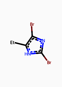 CCc1[nH]c(Br)nc1Br